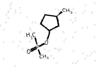 C[C@@H]1CCC(OP(C)(C)=O)C1